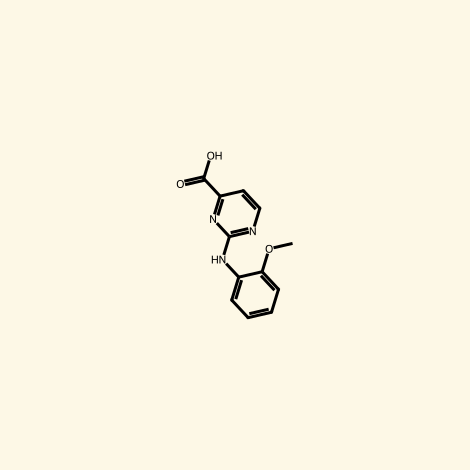 COc1ccccc1Nc1nccc(C(=O)O)n1